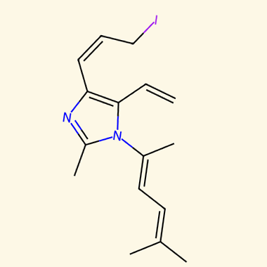 C=Cc1c(/C=C\CI)nc(C)n1/C(C)=C/C=C(C)C